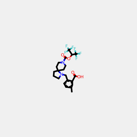 Cc1ccc(CN2CCCC23CCN(C(=O)OC(C(F)(F)F)C(F)(F)F)CC3)c(C(=O)O)c1